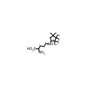 CC1(C)CC(NCCCC(N)C(=O)O)C(C)(C)C1(C)C